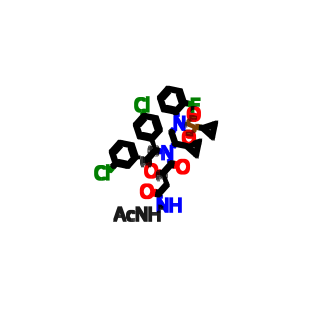 CC(=O)NNC(=O)C[C@H]1O[C@H](c2cccc(Cl)c2)[C@@H](c2ccc(Cl)cc2)N(C(CN(c2ccccc2F)S(=O)(=O)C2CC2)C2CC2)C1=O